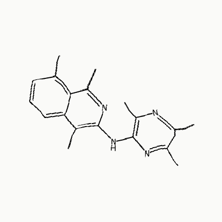 Cc1nc(C)c(Nc2nc(C)c3c(C)cccc3c2C)nc1C